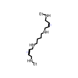 CCNC/C=C\CNCCCCNC/C=C\CNCC